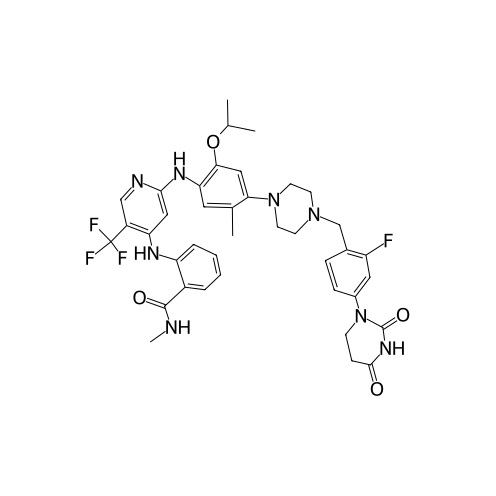 CNC(=O)c1ccccc1Nc1cc(Nc2cc(C)c(N3CCN(Cc4ccc(N5CCC(=O)NC5=O)cc4F)CC3)cc2OC(C)C)ncc1C(F)(F)F